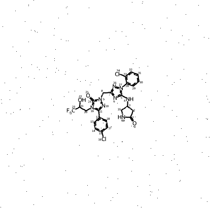 O=C1CC(Nc2nc(Cn3nc(-c4ccc(Cl)cc4)n(CC(O)C(F)(F)F)c3=O)nn2-c2ccccc2Cl)CN1